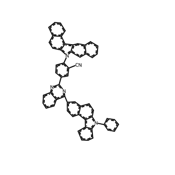 N#Cc1cc(-c2nc(-c3ccc4c(ccc5c4c4ccccc4n5-c4ccccc4)c3)c3ccccc3n2)ccc1-n1c2cc3ccccc3cc2c2c3ccccc3ccc21